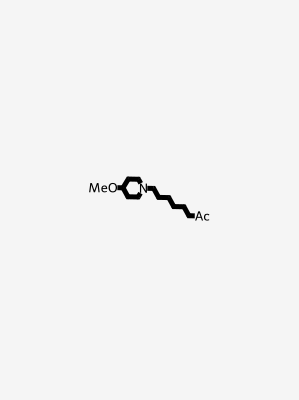 COC1CCN(CCCCCCC(C)=O)CC1